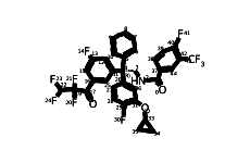 O=C(NC[C@@](c1ccccc1)(c1cc(F)cc(C(=O)C(F)(F)C(F)F)c1)c1ccc(F)c(OC2CC2)c1)c1ccc(F)c(C(F)(F)F)c1